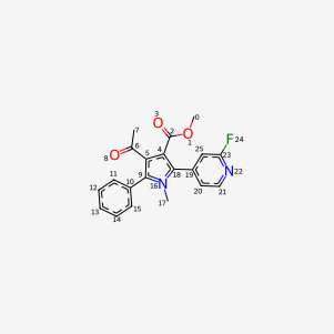 COC(=O)c1c(C(C)=O)c(-c2ccccc2)n(C)c1-c1ccnc(F)c1